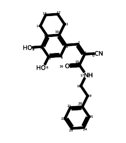 N#CC(=Cc1cc(O)c(O)c2c1CCCC2)C(=O)NCCc1ccccc1